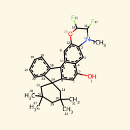 CN1c2cc3c(O)cc4c(c3cc2OC(F)C1F)-c1ccccc1C41CC(C)(C)CC(C)(C)C1